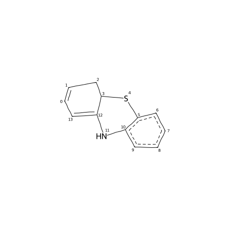 C1=CCC2Sc3ccccc3NC2=C1